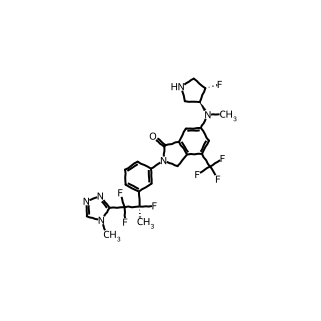 CN(c1cc2c(c(C(F)(F)F)c1)CN(c1cccc([C@@](C)(F)C(F)(F)c3nncn3C)c1)C2=O)[C@H]1CNC[C@@H]1F